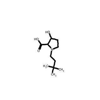 CC(C)(C)CCN1CCC(O)C1C(=O)O